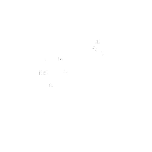 Cc1cnn(-c2ccc(C(=O)N3CCC[C@@H](C)[C@H]3CNc3ccc(C4CC4)cn3)cc2)n1